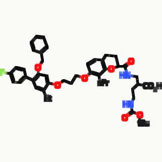 CCCc1c(OCCCOc2cc(OCc3ccccc3)c(-c3ccc(F)cc3)cc2CC)ccc2c1OC(C(=O)NCC(CCNC(=O)OC(C)(C)C)C(=O)O)CC2